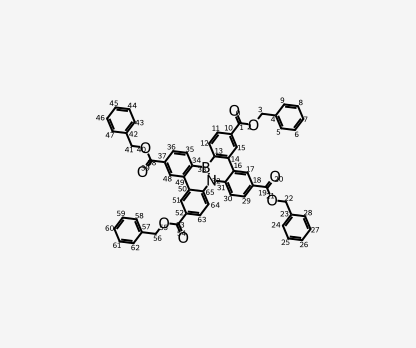 O=C(OCc1ccccc1)c1ccc2c(c1)-c1cc(C(=O)OCc3ccccc3)ccc1N1B2c2ccc(C(=O)OCc3ccccc3)cc2-c2cc(C(=O)OCc3ccccc3)ccc21